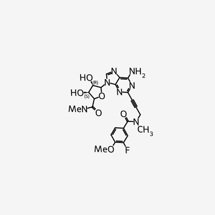 CNC(=O)C1OC(n2cnc3c(N)nc(C#CCN(C)C(=O)c4ccc(OC)c(F)c4)nc32)[C@H](O)[C@@H]1O